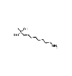 C[Si](O)(O)CCCCCCCCN